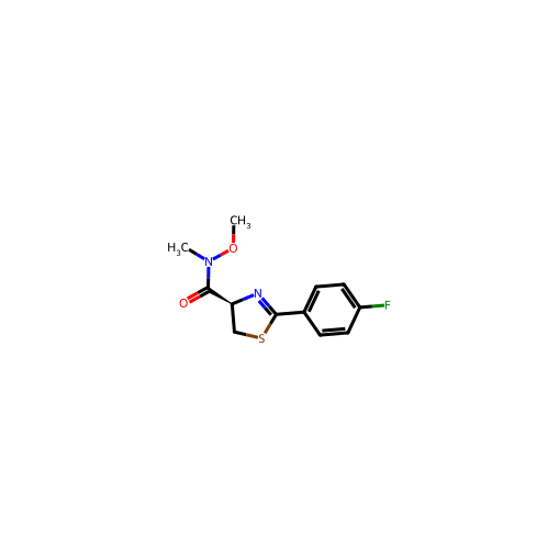 CON(C)C(=O)[C@@H]1CSC(c2ccc(F)cc2)=N1